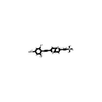 CCCc1cc(F)c(C#Cc2cc3sc(C#C[Si](C)(C)C)cc3s2)c(F)c1